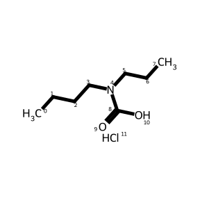 CCCCN(CCC)C(=O)O.Cl